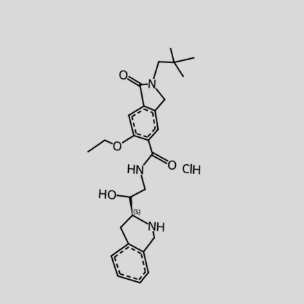 CCOc1cc2c(cc1C(=O)NCC(O)[C@@H]1Cc3ccccc3CN1)CN(CC(C)(C)C)C2=O.Cl